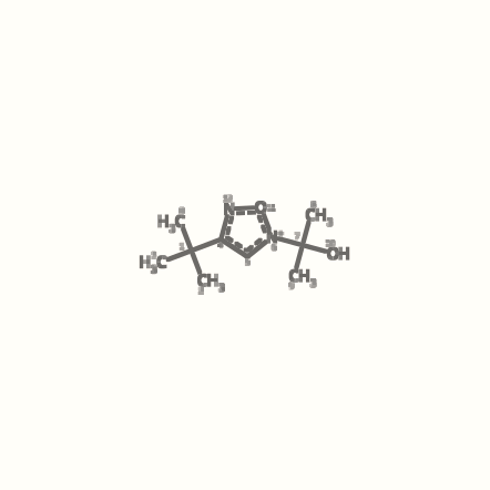 CC(C)(C)c1c[n+](C(C)(C)O)on1